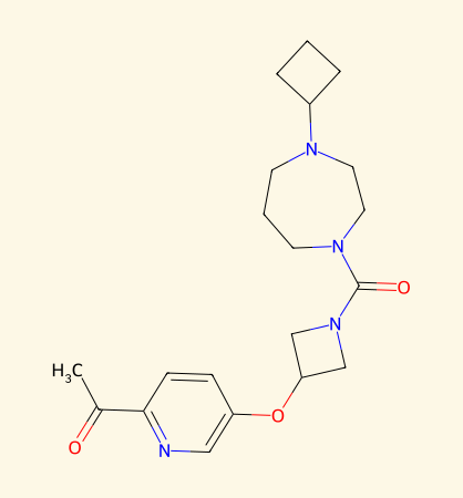 CC(=O)c1ccc(OC2CN(C(=O)N3CCCN(C4CCC4)CC3)C2)cn1